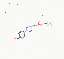 CCOC(=O)CCN1CCN(c2ccc(C=O)nc2)CC1